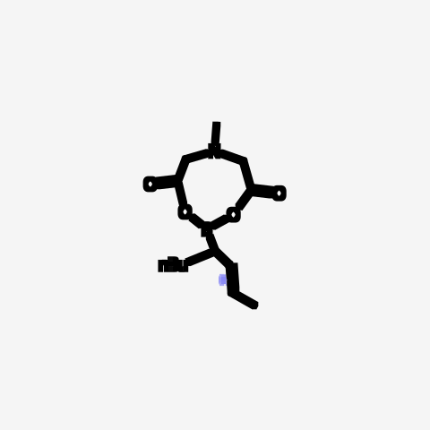 C/C=C/C(CCCC)B1OC(=O)CN(C)CC(=O)O1